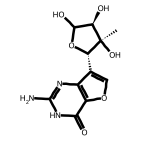 C[C@@]1(O)[C@H](O)C(O)O[C@H]1c1coc2c(=O)[nH]c(N)nc12